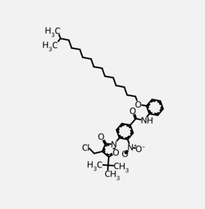 CC(C)CCCCCCCCCCCCCOc1ccccc1NC(=O)c1ccc(-n2oc(C(C)(C)C)c(CCl)c2=O)c([N+](=O)[O-])c1